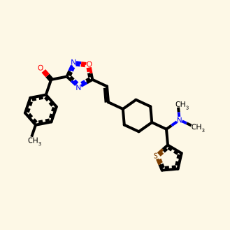 Cc1ccc(C(=O)c2noc(C=CC3CCC(C(c4cccs4)N(C)C)CC3)n2)cc1